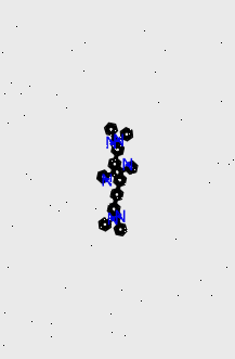 c1ccc(-c2nc3cc(-c4ccc(-c5ccc6c(-c7ccccn7)c7cc(-c8ccc9c(c8)nc(-c8ccccc8)n9-c8ccccc8)ccc7c(-c7ccccn7)c6c5)cc4)ccc3n2-c2ccccc2)cc1